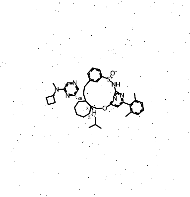 Cc1cccc(C)c1-c1cc2nc(n1)N[S+]([O-])c1cccc(c1)CCC1[C@@H](c3cncc(N(C)C4CCC4)n3)CCC[C@@H](CC(C)C)[C@H]1CO2